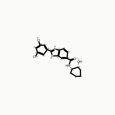 O=C(N[C@H]1CCCC[C@H]1O)c1ccc2nc(-c3cc(Cl)cc(Cl)c3)oc2c1